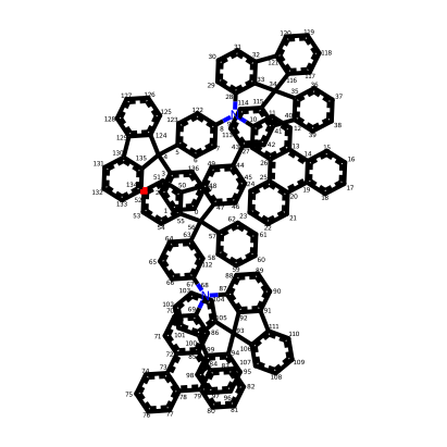 c1ccc(C2(c3ccc(N(c4ccc5c6ccccc6c6ccccc6c5c4)c4cccc5c4C4(c6ccccc6-c6cc(-c7ccc8c(c7)-c7ccccc7C8(c7ccccc7)c7cccc(N(c8ccc9c%10ccccc%10c%10ccccc%10c9c8)c8cccc9c8C8(c%10ccccc%10-c%10ccccc%108)c8ccccc8-9)c7)ccc64)c4ccccc4-5)cc3)c3ccccc3-c3ccccc32)cc1